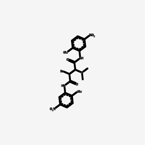 CN(C)C(C(=O)Nc1cc([N+](=O)[O-])ccc1C(C)(C)C)C(Br)C(=O)Nc1cc([N+](=O)[O-])ccc1C(C)(C)C